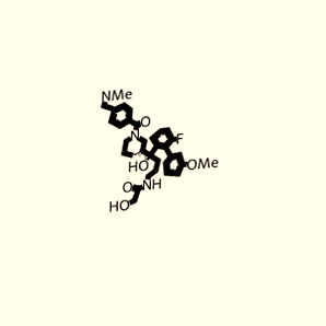 CNCc1ccc(C(=O)N2CCC[C@@H]([C@@](O)(CCCNC(=O)CO)c3cccc(F)c3-c3cccc(OC)c3)C2)cc1